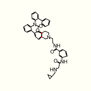 O=C(CNCC1CC1)Nc1cccc(C(=O)NCCN2CCC(OC(=O)N(c3ccccc3-c3ccccc3)c3ccccc3-c3ccccc3)CC2)c1